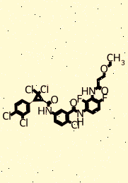 CCOCCC(=O)Nc1c(F)ccc(NC(=O)c2cc(NC(=O)[C@H]3[C@H](c4ccc(Cl)c(Cl)c4)C3(Cl)Cl)ccc2Cl)c1F